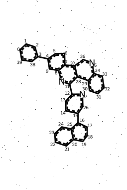 c1ccc(-c2ccc3c(c2)nc(-c2ccc(-c4cccc5ccccc45)cn2)c2c4ccccc4ncc32)cc1